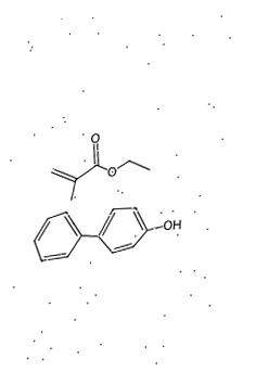 C=C(C)C(=O)OCC.Oc1ccc(-c2ccccc2)cc1